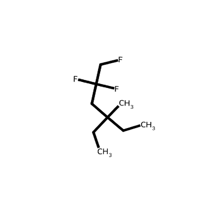 CCC(C)(CC)CC(F)(F)CF